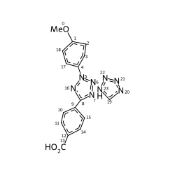 COc1ccc(-n2nnc(-c3ccc(C(=O)O)cc3)n2)cc1.c1nnn[nH]1